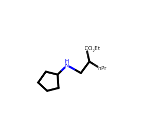 CCCC(CNC1CCCC1)C(=O)OCC